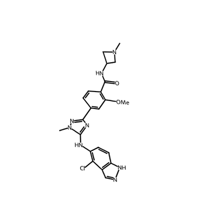 COc1cc(-c2nc(Nc3ccc4[nH]ncc4c3Cl)n(C)n2)ccc1C(=O)NC1CN(C)C1